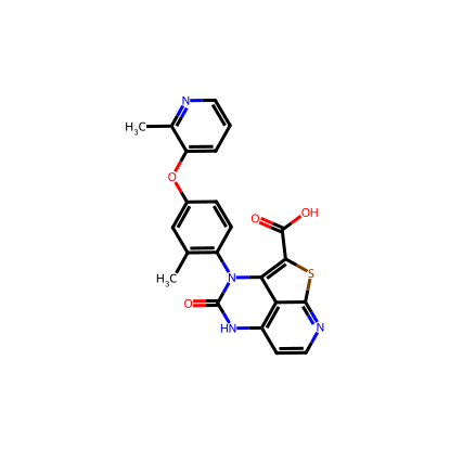 Cc1cc(Oc2cccnc2C)ccc1N1C(=O)Nc2ccnc3sc(C(=O)O)c1c23